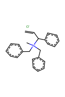 C=CC(c1ccccc1)[N+](C)(Cc1ccccc1)Cc1ccccc1.[Cl-]